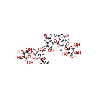 C/C=C1\[C@H](O[C@@H]2O[C@H](CO)[C@@H](O)[C@H](O)[C@H]2O)OC=C(C(=O)OC)[C@H]1CC(=O)OC[C@@H](CO)[C@@H]1C[C@@H](O)[C@H](C)[C@H]1COC(=O)C[C@@H]1C(C(=O)OC)=CO[C@@H](O[C@@H]2O[C@H](CO)[C@@H](O)[C@H](O)[C@H]2O)/C1=C\C